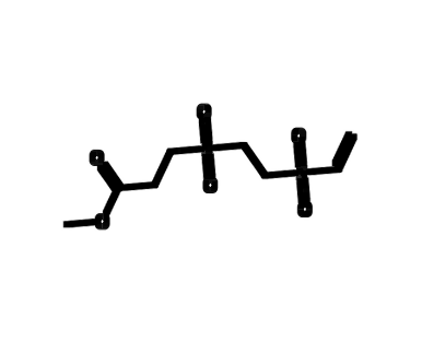 C=CS(=O)(=O)CCS(=O)(=O)CCC(=O)OC